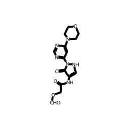 O=COCC(=O)Nc1c[nH]n(-c2cc(N3CCOCC3)ncn2)c1=O